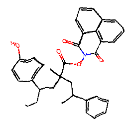 CCC(CC(C)(CC(C)c1ccccc1)C(=O)ON1C(=O)c2cccc3cccc(c23)C1=O)c1ccc(O)cc1